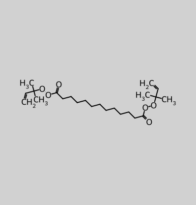 C=CC(C)(C)OOC(=O)CCCCCCCCCCCC(=O)OOC(C)(C)C=C